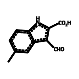 Cc1ccc2[nH]c(C(=O)O)c(C=O)c2c1